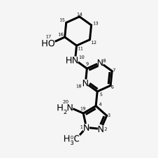 Cn1ncc(-c2ccnc(NC3CCCCC3O)n2)c1N